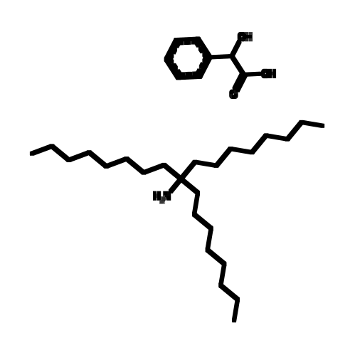 CCCCCCCCC(N)(CCCCCCCC)CCCCCCCC.O=C(O)C(O)c1ccccc1